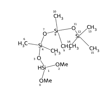 CO[SiH](OC)O[Si](C)(C)O[Si](C)(C)O[Si](C)(C)C